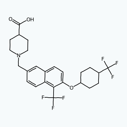 O=C(O)C1CCN(Cc2ccc3c(C(F)(F)F)c(OC4CCC(C(F)(F)F)CC4)ccc3c2)CC1